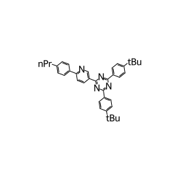 CCCc1ccc(-c2ccc(-c3nc(-c4ccc(C(C)(C)C)cc4)nc(-c4ccc(C(C)(C)C)cc4)n3)cn2)cc1